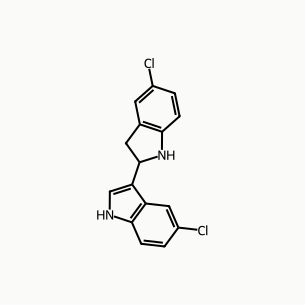 Clc1ccc2c(c1)CC(c1c[nH]c3ccc(Cl)cc13)N2